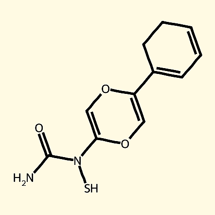 NC(=O)N(S)C1=COC(C2=CC=CCC2)=CO1